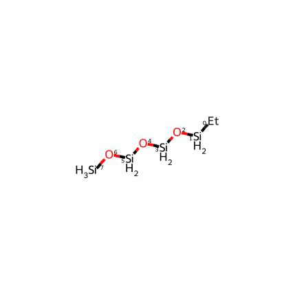 [CH2]C[SiH2]O[SiH2]O[SiH2]O[SiH3]